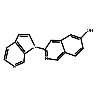 Oc1ccc2cnc(-n3ccc4ccncc43)cc2c1